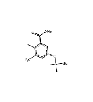 COC(=O)c1cc(O[Si](C)(C)C(C)(C)C)cc(C(F)(F)F)c1C